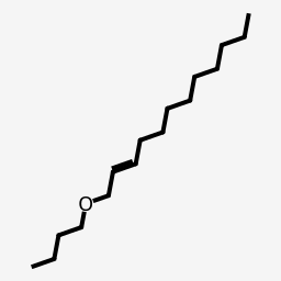 CCCCCCCCCC=CCOCCCC